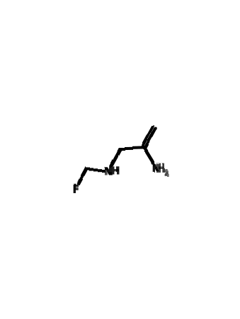 C=C(N)CNCF